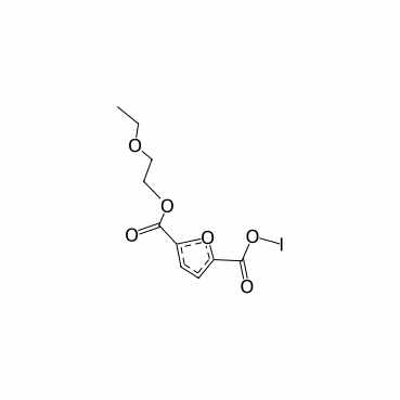 CCOCCOC(=O)c1ccc(C(=O)OI)o1